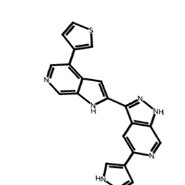 c1cc(-c2cncc3[nH]c(-c4n[nH]c5cnc(-c6cn[nH]c6)cc45)cc23)cs1